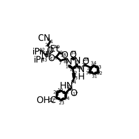 [C-]#[N+]CCOP(OC1CC(n2cc(C#CCNC(=O)c3ccc(C=O)cc3)c(NC(=O)c3ccccc3)nc2=O)OC1CC)N(C(C)C)C(C)C